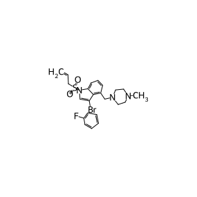 C=CCS(=O)(=O)n1cc(Br)c2c(CN3CCN(C)CC3)cccc21.Fc1ccccc1